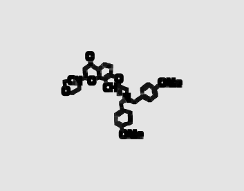 COc1ccc(CN(CCOc2ccc3c(=O)cc(N4CCOCC4)oc3c2C)Cc2ccc(OC)cc2)cc1